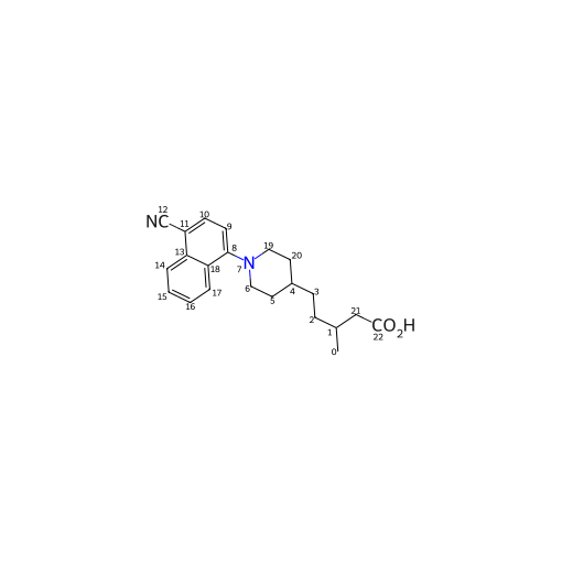 CC(CCC1CCN(c2ccc(C#N)c3ccccc23)CC1)CC(=O)O